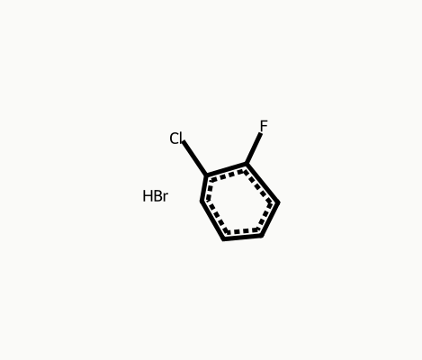 Br.Fc1ccccc1Cl